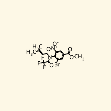 COC(=O)c1cc(Br)c(N(CC=C(C)C)C(=O)C(F)(F)F)c([N+](=O)[O-])c1